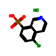 Cl.O=S(=O)(O)c1ccc(Br)c2ccncc12